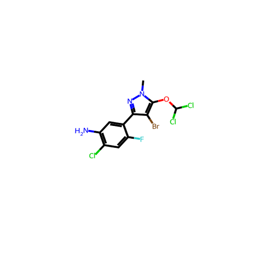 Cn1nc(-c2cc(N)c(Cl)cc2F)c(Br)c1OC(Cl)Cl